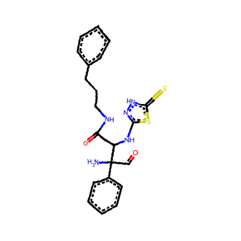 NC(C=O)(c1ccccc1)C(Nc1n[nH]c(=S)s1)C(=O)NCCCc1ccccc1